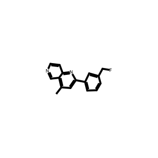 Cc1cc(-c2cccc(CF)c2)nc2ccncc12